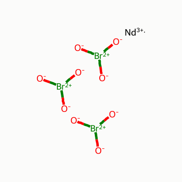 [Nd+3].[O-][Br+2]([O-])[O-].[O-][Br+2]([O-])[O-].[O-][Br+2]([O-])[O-]